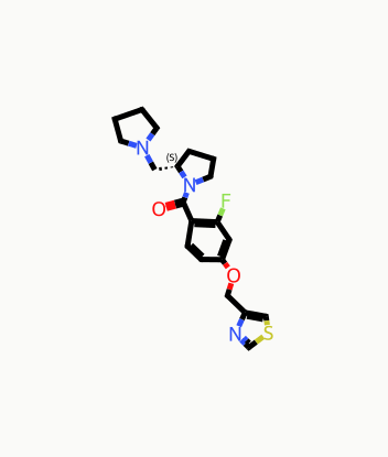 O=C(c1ccc(OCc2cscn2)cc1F)N1CCC[C@H]1CN1CCCC1